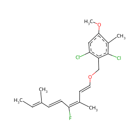 C/C=C(C)/C=C/C(F)=C(C)\C=C\OCc1c(Cl)cc(OC)c(C)c1Cl